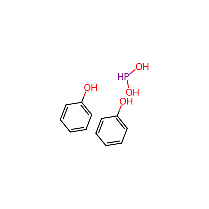 OPO.Oc1ccccc1.Oc1ccccc1